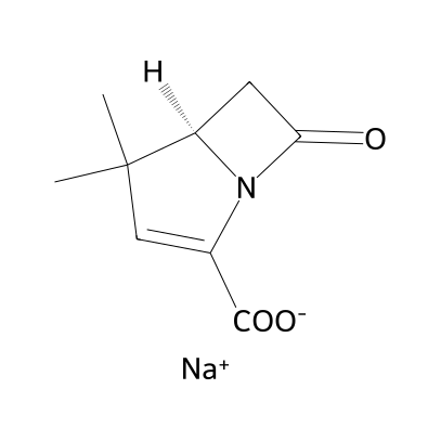 CC1(C)C=C(C(=O)[O-])N2C(=O)C[C@@H]21.[Na+]